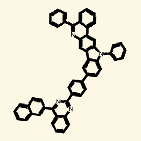 c1ccc(-c2nc3cc4c5cc(-c6ccc(-c7nc(-c8ccc9ccccc9c8)c8ccccc8n7)cc6)ccc5n(-c5ccccc5)c4cc3c3ccccc23)cc1